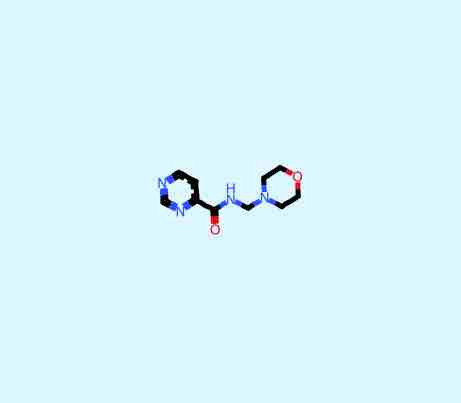 O=C(NCN1CCOCC1)c1ccncn1